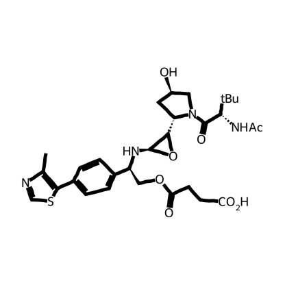 CC(=O)N[C@H](C(=O)N1C[C@H](O)C[C@H]1C1O[C@H]1N[C@@H](COC(=O)CCC(=O)O)c1ccc(-c2scnc2C)cc1)C(C)(C)C